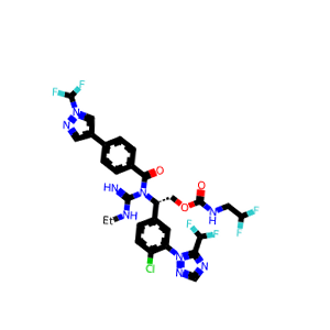 CCNC(=N)N(C(=O)c1ccc(-c2cnn(C(F)F)c2)cc1)[C@H](COC(=O)NCC(F)F)c1ccc(Cl)c(-n2ncnc2C(F)F)c1